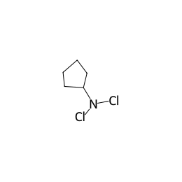 ClN(Cl)C1CCCC1